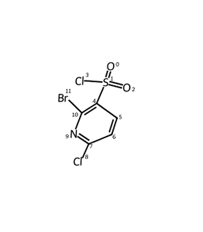 O=S(=O)(Cl)c1ccc(Cl)nc1Br